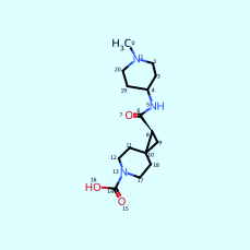 CN1CCC(NC(=O)[C@H]2CC23CCN(C(=O)O)CC3)CC1